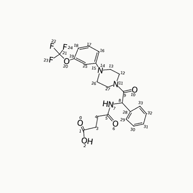 O=C(O)CCC(=O)NC(C(=O)N1CCN(c2cccc(OC(F)(F)F)c2)CC1)c1ccccc1